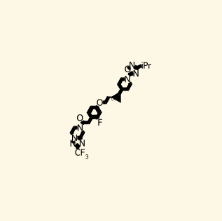 CC(C)c1noc(N2CCC(C3C[C@H]3CCOc3ccc(CC(=O)N4CCn5nc(C(F)(F)F)nc5C4)c(F)c3)CC2)n1